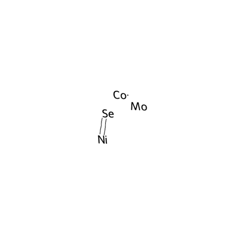 [Co].[Mo].[Ni]=[Se]